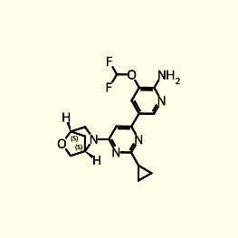 Nc1ncc(-c2cc(N3C[C@@H]4C[C@H]3CO4)nc(C3CC3)n2)cc1OC(F)F